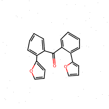 O=C(c1ccccc1-c1ccco1)c1ccccc1-c1ccco1